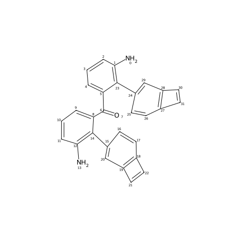 Nc1cccc(C(=O)c2cccc(N)c2-c2ccc3c(c2)C=C3)c1-c1ccc2c(c1)C=C2